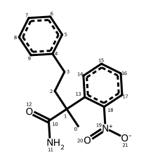 CC(CCc1ccccc1)(C(N)=O)c1ccccc1[N+](=O)[O-]